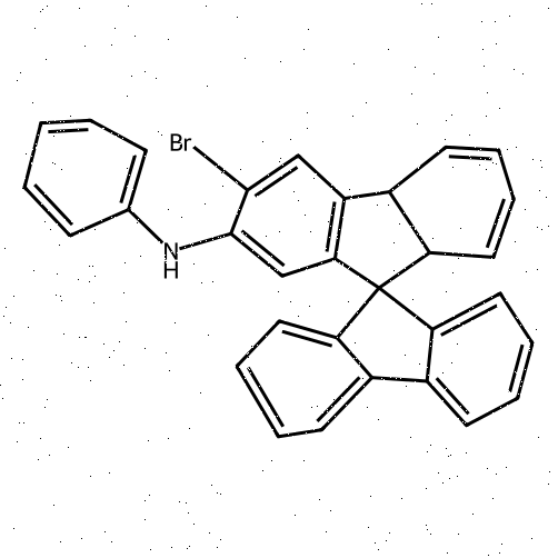 Brc1cc2c(cc1Nc1ccccc1)C1(c3ccccc3-c3ccccc31)C1C=CC=CC21